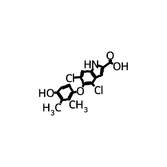 Cc1c(O)ccc(Oc2c(Cl)cc3[nH]c(C(=O)O)cc3c2Cl)c1C